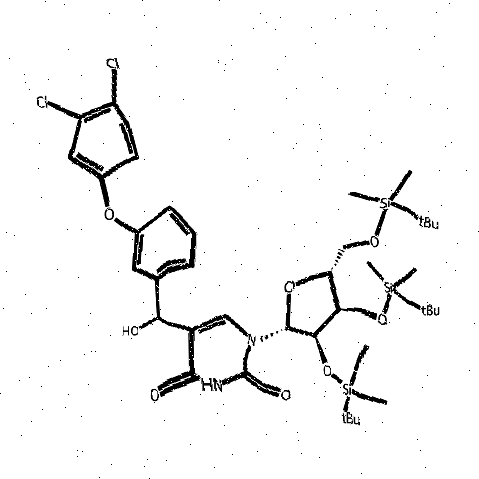 CC(C)(C)[Si](C)(C)OC[C@H]1O[C@@H](n2cc(C(O)c3cccc(Oc4ccc(Cl)c(Cl)c4)c3)c(=O)[nH]c2=O)[C@H](O[Si](C)(C)C(C)(C)C)[C@@H]1O[Si](C)(C)C(C)(C)C